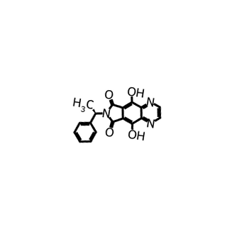 C[C@H](c1ccccc1)N1C(=O)c2c(c(O)c3nccnc3c2O)C1=O